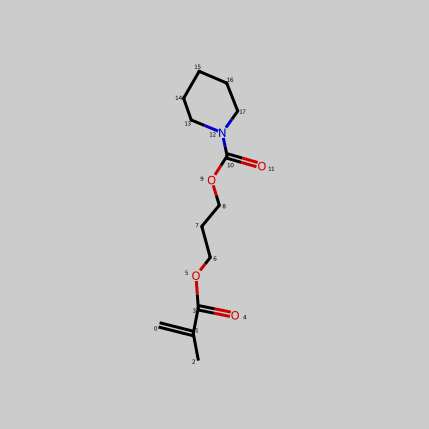 C=C(C)C(=O)OCCCOC(=O)N1CCCCC1